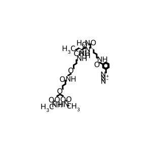 CNC(=O)OCC(COC(=O)NC)OCCCC(=O)NCCOCCCCNCN[C@@H](CC(C)C)C(=O)N[C@@H](CCCCNC(=O)c1cccc(CN=[N+]=[N-])c1)C(N)=O